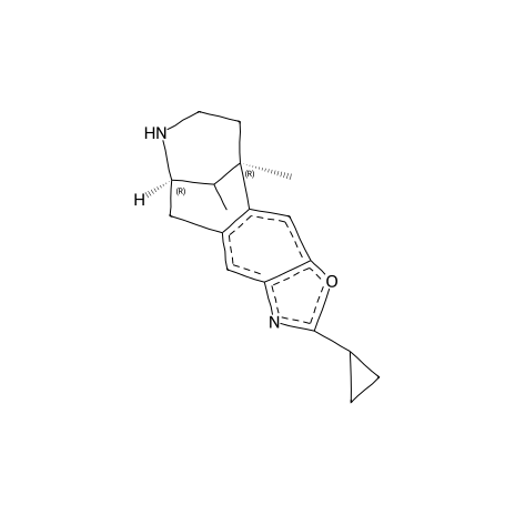 CC1[C@H]2Cc3cc4nc(C5CC5)oc4cc3[C@]1(C)CCN2